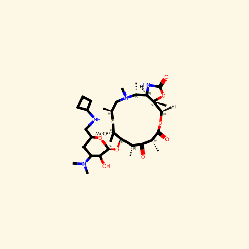 CC[C@H]1OC(=O)[C@H](C)C(=O)[C@H](C)[C@@H](O[C@@H]2OC(CNC3CCC3)CC(N(C)C)C2O)[C@](C)(OC)C[C@@H](C)CN(C)[C@H](C)[C@H]2NC(=O)O[C@@]21C